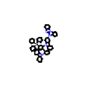 c1ccc([Si](c2ccccc2)(c2ccccc2)c2ccc(-c3ccccc3-n3c4ccccc4c4ccccc43)c(-n3c4ccccc4c4cc(-n5c6ccccc6n6c7ccccc7nc56)ccc43)c2)cc1